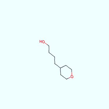 OCCCCC1CCOCC1